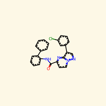 O=C(Nc1ccccc1-c1ccccc1)c1ccn2ncc(-c3cccc(Cl)c3)c2n1